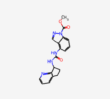 COC(=O)n1ncc2c(NC(=O)NC3CCc4cccnc43)cccc21